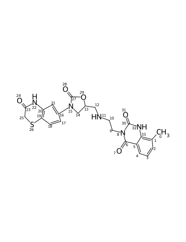 Cc1cccc2c(=O)n(CCNCC3CN(c4ccc5c(c4)NC(=O)CS5)C(=O)O3)c(=O)[nH]c12